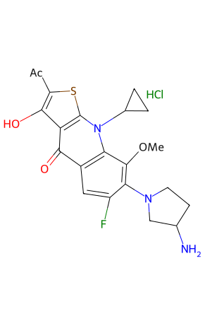 COc1c(N2CCC(N)C2)c(F)cc2c(=O)c3c(O)c(C(C)=O)sc3n(C3CC3)c12.Cl